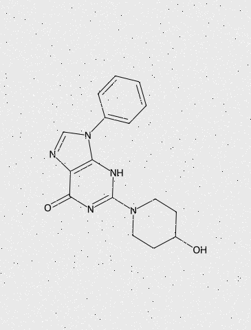 O=c1nc(N2CCC(O)CC2)[nH]c2c1ncn2-c1ccccc1